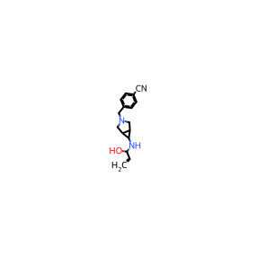 C=CC(O)NC1C2CN(Cc3ccc(C#N)cc3)CC21